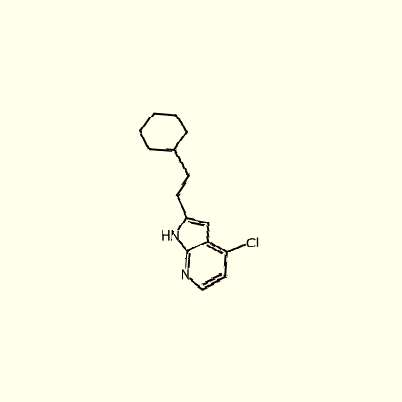 Clc1ccnc2[nH]c(CCC3CCCCC3)cc12